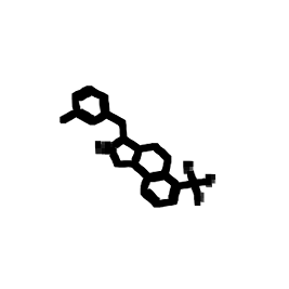 Cc1cccc(CC2NCC3c4cccc(C(F)(F)F)c4CCC23)c1